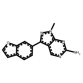 Cn1nc(-c2ccc3ccoc3c2)c2cnc(N)nc21